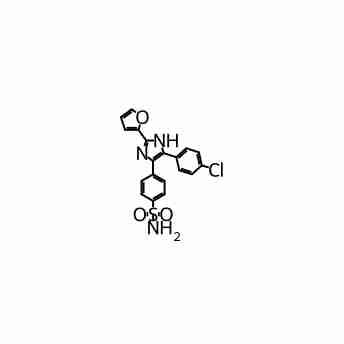 NS(=O)(=O)c1ccc(-c2nc(-c3ccco3)[nH]c2-c2ccc(Cl)cc2)cc1